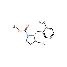 COc1ccccc1C[C@@H]1[C@@H](C)CCN1C(=O)OC(C)(C)C